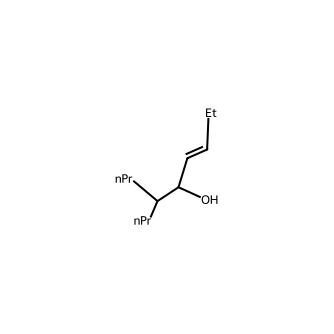 [CH2]CC=CC(O)C(CCC)CCC